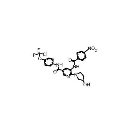 O=C(Nc1ccc(OC(F)(F)Cl)cc1)c1cnc(N2CCC(O)C2)c(NC(=O)c2ccc([N+](=O)[O-])cc2)c1